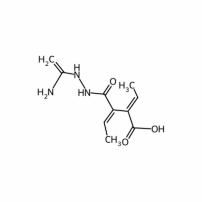 C=C(N)NNC(=O)C(=C/C)/C(=C\C)C(=O)O